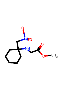 COC(=O)CNC1(C[N+](=O)[O-])CCCCC1